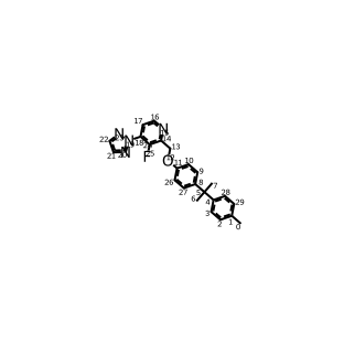 Cc1ccc(C(C)(C)c2ccc(OCc3nccc(-n4nccn4)c3F)cc2)cc1